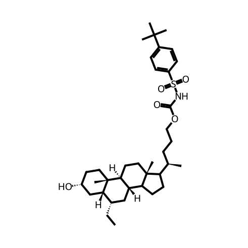 CC[C@H]1C[C@H]2C3CCC([C@H](C)CCCOC(=O)NS(=O)(=O)c4ccc(C(C)(C)C)cc4)[C@@]3(C)CC[C@@H]2[C@@]2(C)CC[C@@H](O)C[C@@H]12